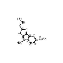 CCNCC1Cc2c(n(C)c3ccc(OC)cc23)C1